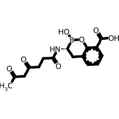 CC(=O)CC(=O)CCC(=O)N[C@H]1Cc2cccc(C(=O)O)c2OB1O